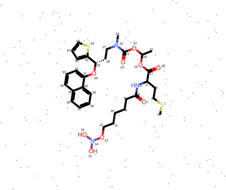 CSCCC(NC(=O)CCCCCON(O)O)C(=O)OC(C)OC(=O)N(C)CC[C@H](Oc1cccc2ccccc12)c1cccs1